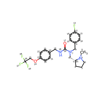 CN1CCC[C@@H]1CN(Cc1ccc(F)cc1)C(=O)NCc1ccc(OCC(F)(F)F)cc1